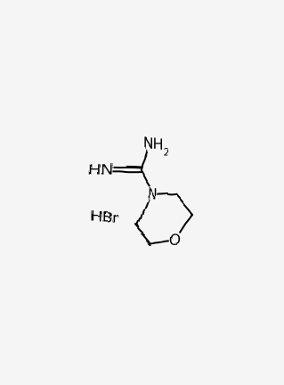 Br.N=C(N)N1CCOCC1